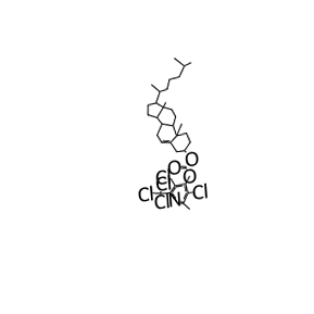 Cc1nc(C(Cl)(Cl)Cl)c(Cl)c(OC(=O)OC2CCC3(C)C(=CCC4C3CCC3(C)C(C(C)CCCC(C)C)CCC43)C2)c1Cl